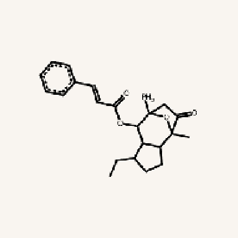 CCC1CCC2C1C(OC(=O)/C=C/c1ccccc1)C1(P)CC(=O)C2(C)O1